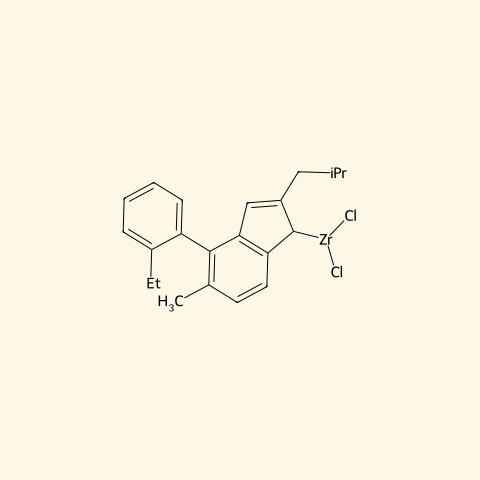 CCc1ccccc1-c1c(C)ccc2c1C=C(CC(C)C)[CH]2[Zr]([Cl])[Cl]